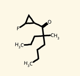 CCCCC(C)(CCC)C(=O)C1CC1F